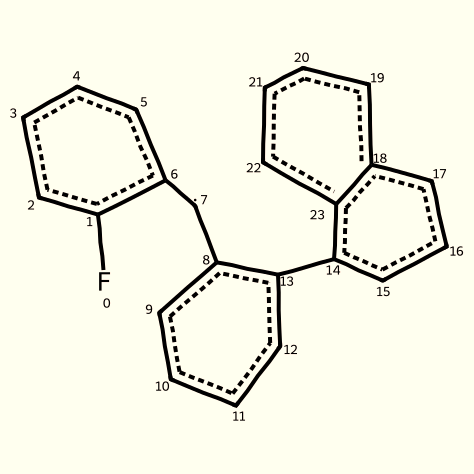 Fc1ccccc1[CH]c1ccccc1-c1cccc2ccccc12